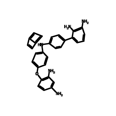 Nc1ccc(Oc2ccc(Nc3ccc(-c4cccc(N)c4N)cc3)cc2)c(N)c1.c1cc2ccc1-2